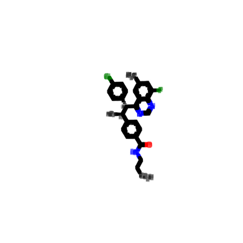 CCC[C@H](c1ccc(C(=O)NCCC(=O)O)cc1)[C@H](c1ccc(Cl)cc1)c1ncnc2c(F)cc(C)cc12